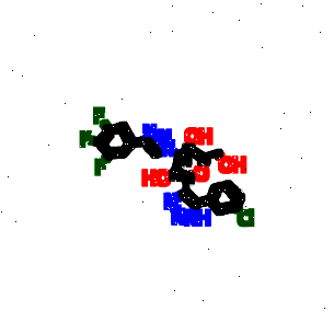 OC[C@H]1O[C@@H](c2nn[nH]c2-c2cccc(Cl)c2)[C@H](O)[C@@H](n2cc(-c3cc(F)c(F)c(F)c3)nn2)[C@H]1O